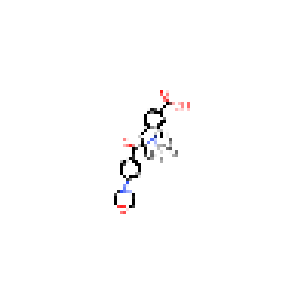 CN(C)C(C)(Cc1ccc(C(=O)O)cc1)C(=O)c1ccc(N2CCOCC2)cc1